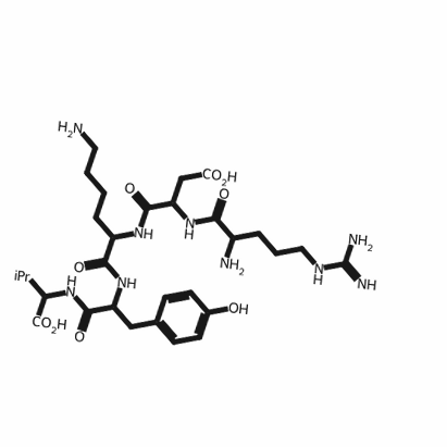 CC(C)C(NC(=O)C(Cc1ccc(O)cc1)NC(=O)C(CCCCN)NC(=O)C(CC(=O)O)NC(=O)C(N)CCCNC(=N)N)C(=O)O